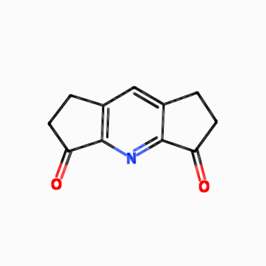 O=C1CCc2cc3c(nc21)C(=O)CC3